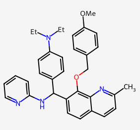 CCN(CC)c1ccc(C(Nc2ccccn2)c2ccc3ccc(C)nc3c2OCc2ccc(OC)cc2)cc1